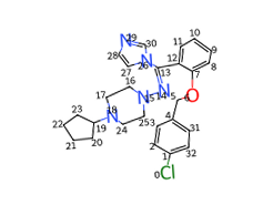 Clc1ccc(COc2ccccc2C(=NN2CCN(C3CCCC3)CC2)n2ccnc2)cc1